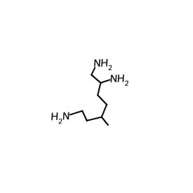 CC(CCN)CCC(N)CN